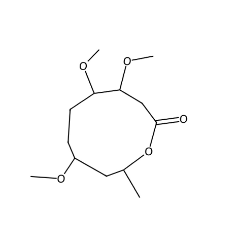 COC1CCC(OC)C(OC)CC(=O)OC(C)C1